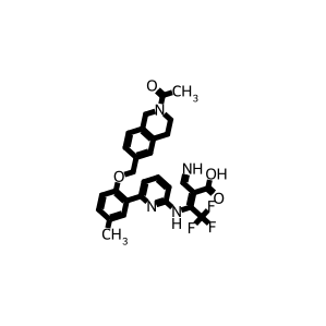 CC(=O)N1CCc2cc(COc3ccc(C)cc3-c3cccc(N/C(=C(\C=N)C(=O)O)C(F)(F)F)n3)ccc2C1